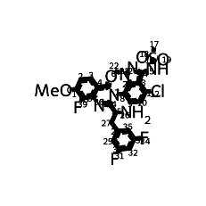 COc1ccc2c(=O)n(-c3ccc(Cl)c4c(NS(C)(=O)=O)nn(C)c34)c([C@@H](N)Cc3cc(F)cc(F)c3)nc2c1F